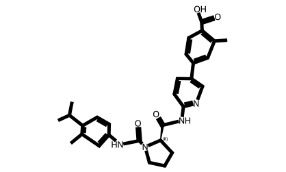 Cc1cc(-c2ccc(NC(=O)[C@H]3CCCN3C(=O)Nc3ccc(C(C)C)c(C)c3)nc2)ccc1C(=O)O